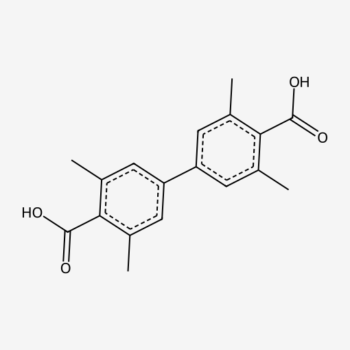 Cc1cc(-c2cc(C)c(C(=O)O)c(C)c2)cc(C)c1C(=O)O